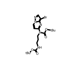 CC(C)(C)OC(=O)NCCCN(C(=O)OC(C)(C)C)c1ccn2ncc(Br)c2n1